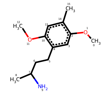 COc1cc(CCC(C)N)c(OC)cc1C